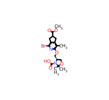 COC(=O)C1Cc2c(Br)nc(OC[C@H]3COC(C)(C)N3C(=O)O)c(C)c2C1